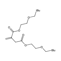 C=C(CC(=O)OCCOCC(C)(C)C)C(=O)OCCOCC(C)(C)C